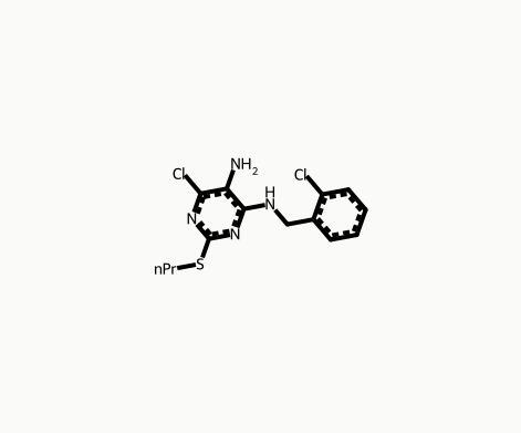 CCCSc1nc(Cl)c(N)c(NCc2ccccc2Cl)n1